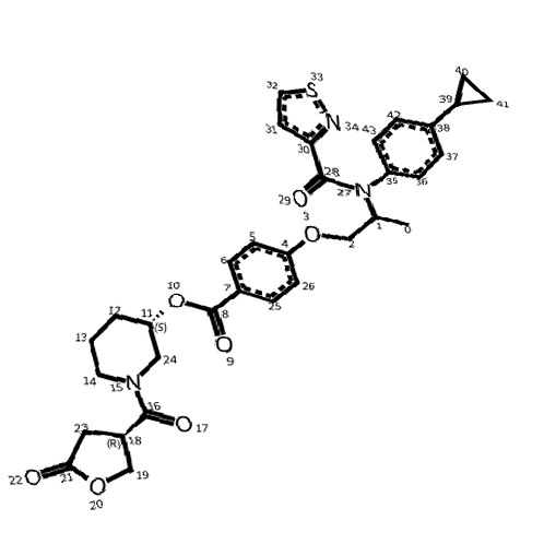 CC(COc1ccc(C(=O)O[C@H]2CCCN(C(=O)[C@H]3COC(=O)C3)C2)cc1)N(C(=O)c1ccsn1)c1ccc(C2CC2)cc1